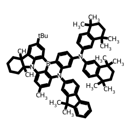 Cc1cc2c3c(c1)N1c4c(cc(C(C)(C)C)cc4C4(C)CCCCC14C)B3c1ccc(N(c3ccc4c(c3)C(C)(C)CCC4(C)C)c3ccc4c(c3)C(C)(C)CCC4(C)C)cc1N2c1ccc2c(c1)C(C)(C)c1ccccc1-2